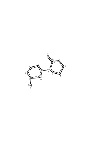 [2H]c1cccc(-n2ccccc2=O)n1